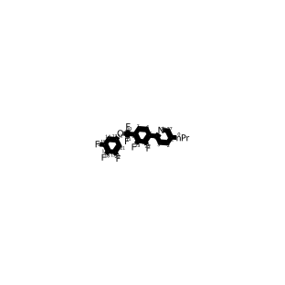 CCCc1ccc(-c2ccc(C(F)(F)Oc3cc(F)c(F)c(F)c3)c(F)c2F)nc1